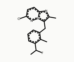 Cc1nc2ccc(Cl)nn2c1Cc1cccc(C(C)F)c1C